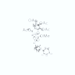 COC(=O)[C@@]1(OCCn2cc(-c3ccccc3)nn2)CC(OC(C)=O)[C@@H](N)C([C@H](OC(C)=O)[C@@H](COC(C)=O)OC(C)=O)O1